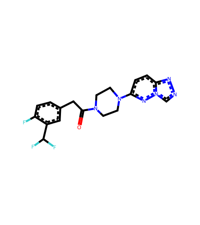 O=C(Cc1ccc(F)c(C(F)F)c1)N1CCN(c2ccc3nncn3n2)CC1